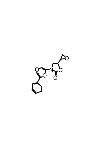 O=C1OC(C2CO2)CN1C1=COC=C(C2=CC=CCC2)O1